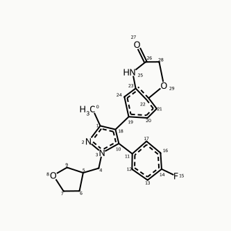 Cc1nn(CC2CCOC2)c(-c2ccc(F)cc2)c1-c1ccc2c(c1)NC(=O)CO2